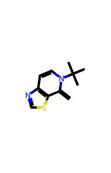 C=C1c2scnc2C=CN1C(C)(C)C